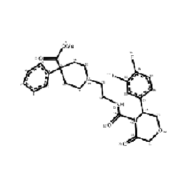 COC(=O)C1(c2ccccc2)CCN(CCNC(=O)N2C(=O)COCC2c2ccc(F)c(F)c2)CC1